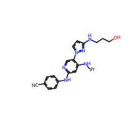 CC(C)Nc1cc(Nc2ccc(C#N)cc2)ncc1-n1ccc(NCCCO)n1